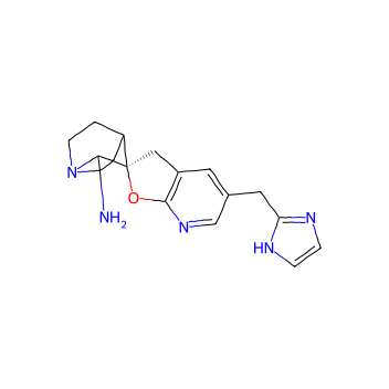 NC1N2CCC(CC2)[C@]12Cc1cc(Cc3ncc[nH]3)cnc1O2